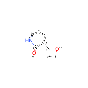 O=c1[nH]cccc1C1CCO1